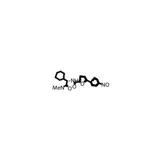 CNC(=O)[C@@H](NC(=O)c1ccc(-c2ccc(N=O)cc2)o1)C1CCCCC1